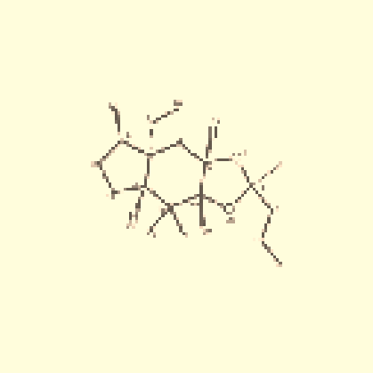 CCC[C@]1(C)O[C@H]2C[C@]3(CC)[C@H](C)CC[C@H]3C(C)(C)[C@@]2(C)O1